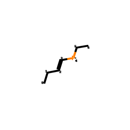 CCC=C[P]CC